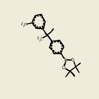 CC1(C)OB(c2ccc(C(C)(c3cccc(C(F)(F)F)c3)C(F)(F)F)cc2)OC1(C)C